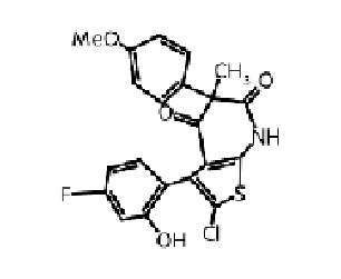 COc1ccc(C2(C)C(=O)Nc3sc(Cl)c(-c4ccc(F)cc4O)c3C2=O)cc1